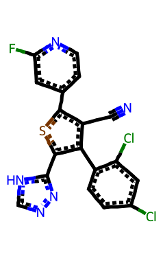 N#Cc1c(-c2ccnc(F)c2)sc(-c2nnc[nH]2)c1-c1ccc(Cl)cc1Cl